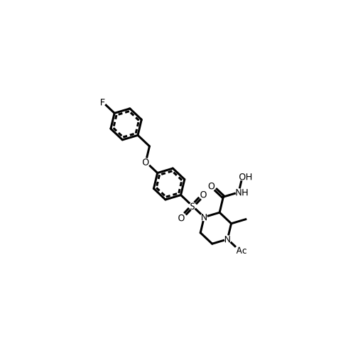 CC(=O)N1CCN(S(=O)(=O)c2ccc(OCc3ccc(F)cc3)cc2)C(C(=O)NO)C1C